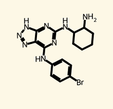 NC1CCCCC1Nc1nc(Nc2ccc(Br)cc2)c2nn[nH]c2n1